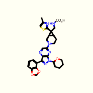 Cc1csc(C2(CNC(=O)O)C3CCN(c4cnc5c(-c6cccc7c6OCO7)nn(C6CCCCO6)c5n4)CC32)n1